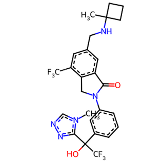 Cn1cnnc1C(O)(c1cccc(N2Cc3c(cc(CNC4(C)CCC4)cc3C(F)(F)F)C2=O)c1)C(F)(F)F